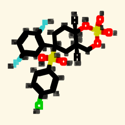 O=S1(=O)OC[C@@H]2C[C@](c3cc(F)ccc3F)(S(=O)(=O)c3ccc(Cl)cc3)CC[C@@H]2O1